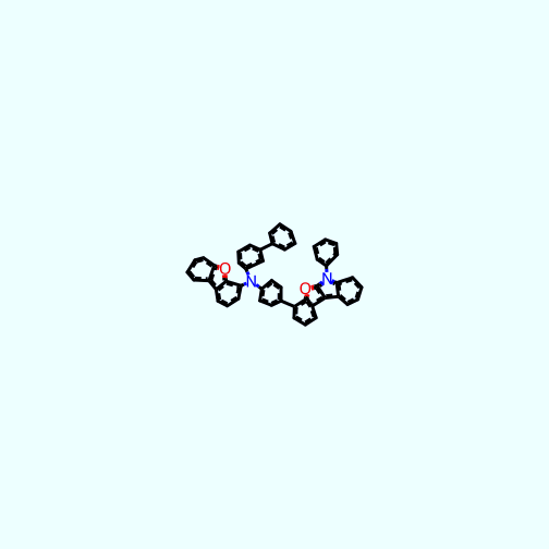 c1ccc(-c2cccc(N(c3ccc(-c4cccc5c4oc4c5c5ccccc5n4-c4ccccc4)cc3)c3cccc4c3oc3ccccc34)c2)cc1